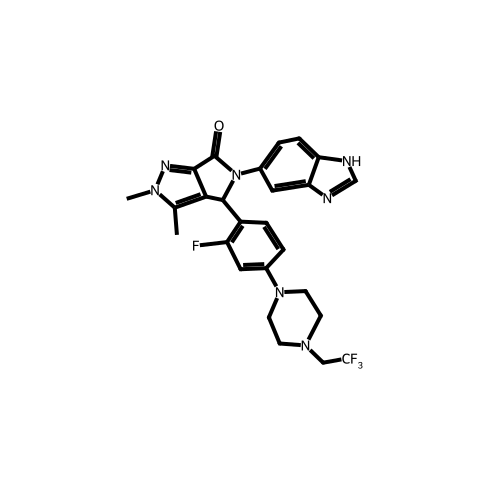 Cc1c2c(nn1C)C(=O)N(c1ccc3[nH]cnc3c1)C2c1ccc(N2CCN(CC(F)(F)F)CC2)cc1F